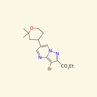 CCOC(=O)c1nn2cc(C3CCOC(C)(C)C3)cnc2c1Br